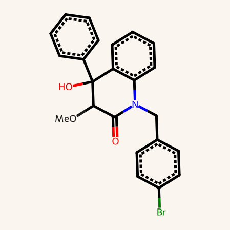 COC1C(=O)N(Cc2ccc(Br)cc2)c2ccccc2C1(O)c1ccccc1